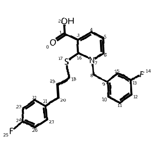 O=C(O)C1=CC=CN(Cc2cccc(F)c2)C1SCCCc1ccc(F)cc1